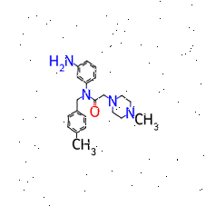 Cc1ccc(CN(C(=O)CN2CCN(C)CC2)c2cccc(N)c2)cc1